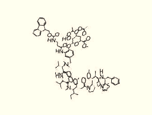 CC[C@H](C)[C@@H]([C@@H](CC(=O)N1CCC[C@H]1[C@H](OC)[C@@H](C)C(=O)N[C@@H](Cc1ccccc1)c1nccs1)OC)N(C)C(=O)[C@@H](NC(=O)[C@H](C(C)C)[N+](C)(C)Cc1ccc(O[C@@H]2O[C@H](C(=O)OC)[C@@H](OC(C)=O)[C@H](OC(C)=O)[C@H]2O)c(NC(=O)CCNC(=O)OCC2c3ccccc3-c3ccccc32)c1)C(C)C